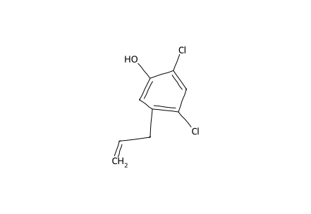 C=CCc1cc(O)c(Cl)cc1Cl